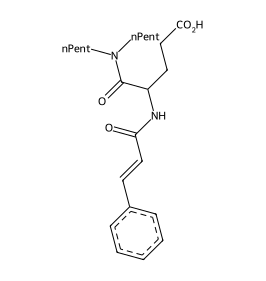 CCCCCN(CCCCC)C(=O)C(CCC(=O)O)NC(=O)C=Cc1ccccc1